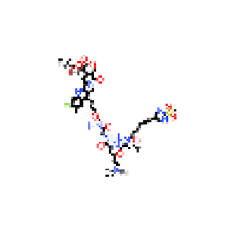 CCN(CC)CCCC[C@H](NC(=O)[C@@H](NC(=O)CCCC#Cc1cnc(S(C)(=O)=O)nc1)C(C)C)C(=O)NCC(=O)NCOCCCc1c2c(nc3cc(F)c(C)cc13)-c1cc3c(c(=O)n1C2)COC(=O)[C@@]3(CC)OC(=O)C(F)(F)F